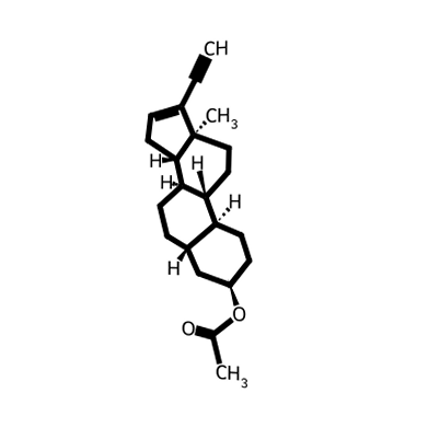 C#CC1=CC[C@H]2[C@@H]3CC[C@H]4C[C@H](OC(C)=O)CC[C@@H]4[C@H]3CC[C@]12C